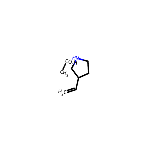 C=CC1CCNC1.CC(=O)O